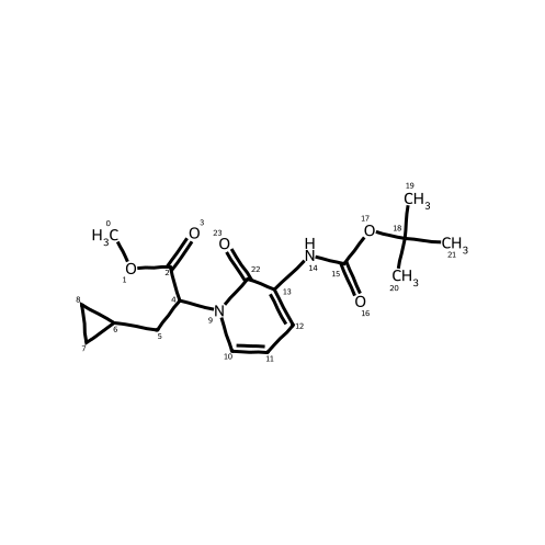 COC(=O)C(CC1CC1)n1cccc(NC(=O)OC(C)(C)C)c1=O